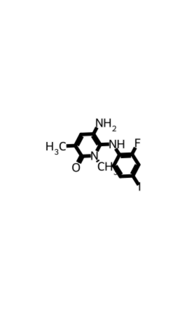 Cc1cc(N)c(Nc2ccc(I)cc2F)n(C)c1=O